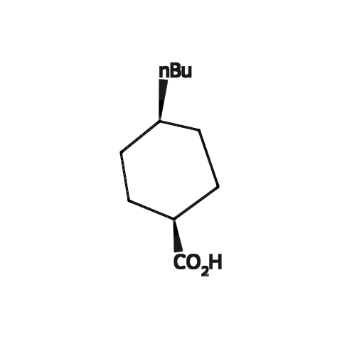 CCCC[C@H]1CC[C@@H](C(=O)O)CC1